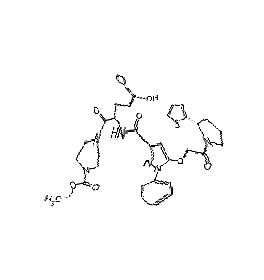 CCOC(=O)N1CCN(C(=O)C(CCC(=O)O)NC(=O)c2cc(OCC(=O)N3CCC[C@H]3c3cccs3)n(-c3ccccc3)n2)CC1